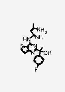 C/C(N)=C/C(=N)Nc1nc(C(C)(O)c2ccc(F)cc2)nc2ccsc12